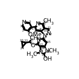 COc1ccncc1-c1cc2c(cnn2-c2cc3c(c(OC(C)C4CC4)n2)N(C)C(O)N3C)c(C)n1